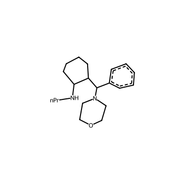 CCCNC1CCCCC1C(c1ccccc1)N1CCOCC1